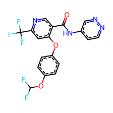 O=C(Nc1ccnnc1)c1cnc(C(F)(F)F)cc1Oc1ccc(OC(F)F)cc1